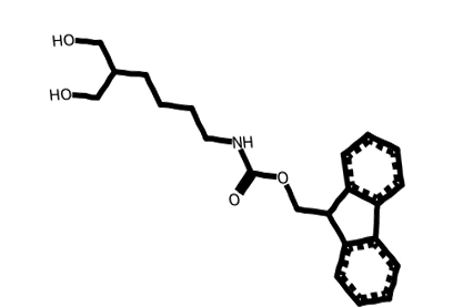 O=C(NCCCCC(CO)CO)OCC1c2ccccc2-c2ccccc21